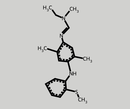 CCN(C)C=Nc1cc(C)c(Nc2ccccc2SC)cc1C